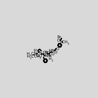 CN(C(=O)CBr)c1ccc(OCC(=O)NC(=O)C[C@H](N)C(=O)N[C@@H](Cc2ccccc2)[C@H](O)C(=O)N2CCC[C@H]2C(=O)NC(C)(C)C)cc1